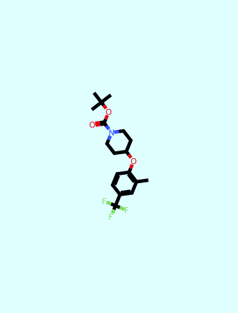 Cc1cc(C(F)(F)F)ccc1OC1CCN(C(=O)OC(C)(C)C)CC1